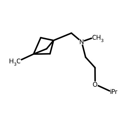 CC(C)OCCN(C)CC12CC(C)(C1)C2